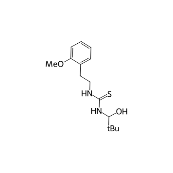 COc1ccccc1CCNC(=S)NC(O)C(C)(C)C